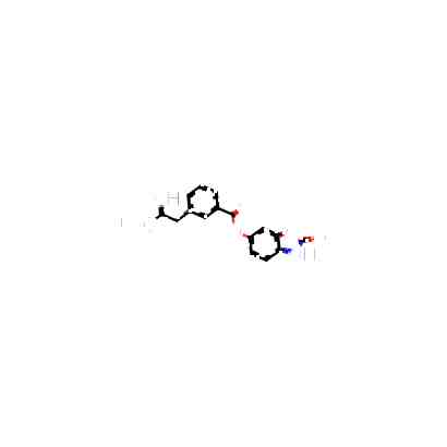 C=C(C)Cc1cccc(C(=O)Oc2ccc3[nH]c(=O)oc3c2)c1